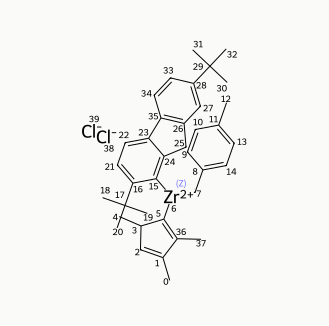 CC1=CC(C)[C](/[Zr+2](=[CH]/c2ccc(C)cc2)[c]2c(C(C)(C)C)ccc3c2Cc2cc(C(C)(C)C)ccc2-3)=C1C.[Cl-].[Cl-]